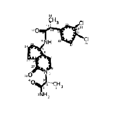 C[C@H](C(N)=O)n1ccc2c(NC(=O)[C@H](C)c3ccc(Cl)c(Cl)c3)cccc2c1=O